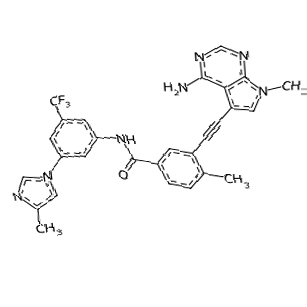 Cc1cn(-c2cc(NC(=O)c3ccc(C)c(C#Cc4cn(C)c5ncnc(N)c45)c3)cc(C(F)(F)F)c2)cn1